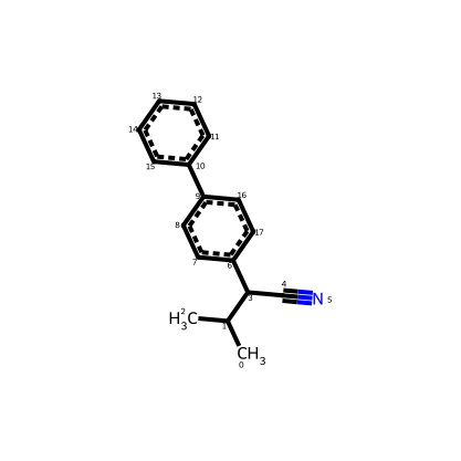 CC(C)C(C#N)c1ccc(-c2ccccc2)cc1